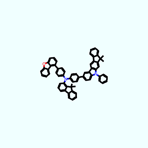 CC1(C)c2ccccc2-c2cc3c4cc(-c5ccc(N(c6ccc(-c7cccc8oc9ccccc9c78)cc6)c6cccc7c6C(C)(C)c6ccccc6-7)cc5)ccc4n(-c4ccccc4)c3cc21